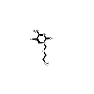 Nc1nc(=O)n(COCCO)cc1I